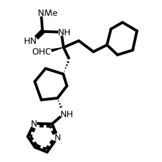 CNC(=N)N[C@](C=O)(CCC1CCCCC1)C[C@H]1CCC[C@@H](Nc2ncccn2)C1